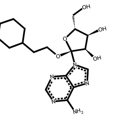 Nc1ncnc2c1ncn2[C@]1(OCCC2CCCCC2)O[C@H](CO)[C@@H](O)[C@H]1O